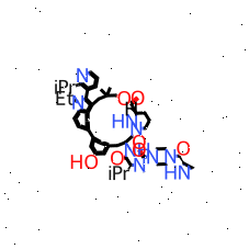 CCn1c(-c2cccnc2C(C)C)c2c3cc(ccc31)-c1cc(O)cc(c1)C[C@H](NC(=O)[C@H](C(C)C)N(C)C(=O)N1CCN(C(=O)[C@H]3CN3)CC1)C(=O)N1CCC[C@H](N1)C(=O)OCC(C)(C)C2